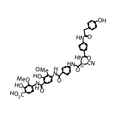 COc1c(NC(=O)c2ccc(NC(=O)c3ccc(NC(=O)[C@H](CC#N)NC(=O)c4ccc(NC(=O)Cc5ccc(O)cc5)cc4)cc3)c(OC)c2O)ccc(C(=O)O)c1O